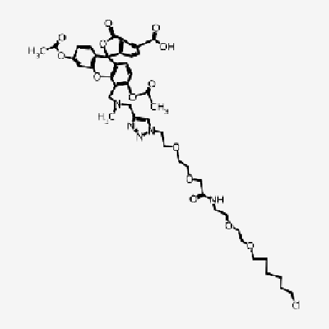 CC(=O)Oc1ccc2c(c1)Oc1c(ccc(OC(C)=O)c1CN(C)Cc1cn(CCOCCOCC(=O)NCCOCCOCCCCCCCl)nn1)C21OC(=O)c2cc(C(=O)O)ccc21